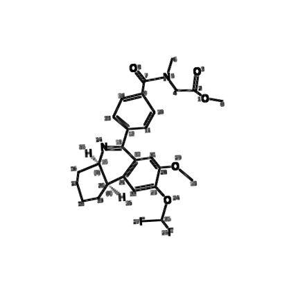 COC(=O)CN(C)C(=O)c1ccc(C2=N[C@@H]3CCCC[C@@H]3c3cc(OC(F)F)c(OC)cc32)cc1